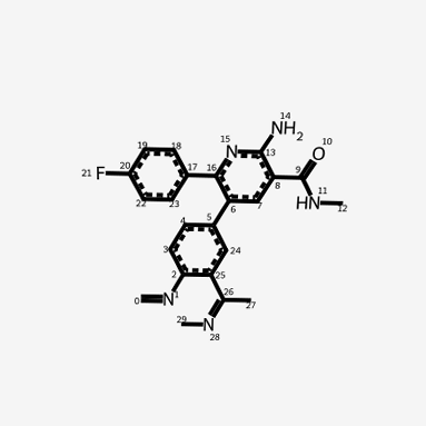 C=Nc1ccc(-c2cc(C(=O)NC)c(N)nc2-c2ccc(F)cc2)cc1/C(C)=N\C